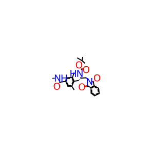 CNC(=O)c1cc(C)c(C[C@@H](CN2C(=O)c3ccccc3C2=O)NC(=O)OC(C)(C)C)c(C)c1